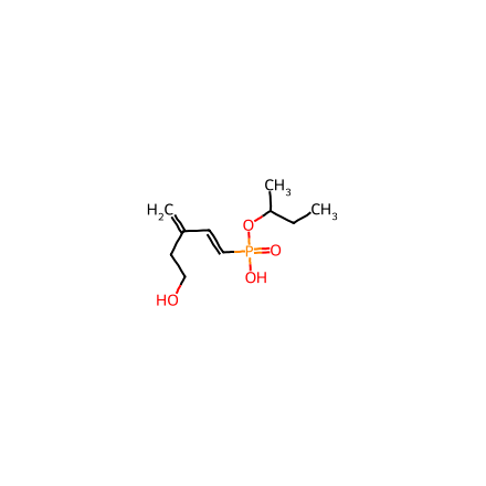 C=C(C=CP(=O)(O)OC(C)CC)CCO